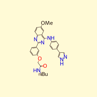 CC[C@H](C)NC(=O)COc1cccc(-c2nc(Nc3ccc(-c4cn[nH]c4)cc3)c3cc(OC)ccc3n2)c1